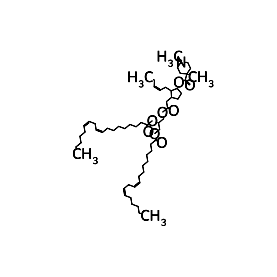 CC/C=C\CC1C(CC(=O)OCC(COC(=O)CCCCCCC/C=C\C/C=C\CCCCC)OC(=O)CCCCCCC/C=C\C/C=C\CCCCC)CCC1OC(=O)C1(C)CCN(C)CC1